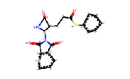 O=C(CC[C@@H]1C(=O)N[C@@H]1N1C(=O)c2ccccc2C1=O)Sc1ccccc1